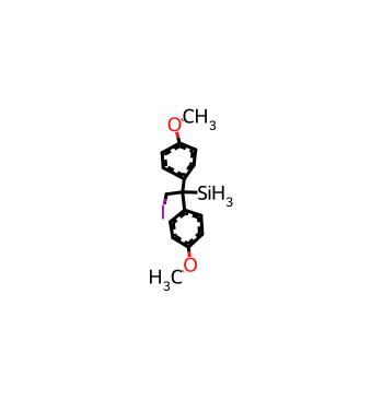 COc1ccc(C([SiH3])(CI)c2ccc(OC)cc2)cc1